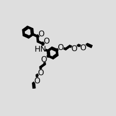 C=COCOCCOc1ccc(OCCOCOC=C)c(NC(=O)CC(=O)c2ccccc2)c1